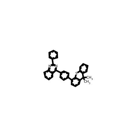 CC1(C)c2ccccc2Sc2c(-c3ccc(-c4nc(-c5ccccc5)nc5ccccc45)cc3)cccc21